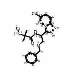 CC(C)(NCl)C(=O)NC(COCc1ccccc1)c1nnc2ccc(Cl)nn12